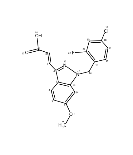 COc1ccc2c(C=CC(=O)O)nn(Cc3ccc(Cl)cc3F)c2c1